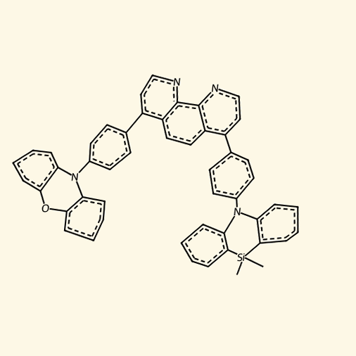 C[Si]1(C)c2ccccc2N(c2ccc(-c3ccnc4c3ccc3c(-c5ccc(N6c7ccccc7Oc7ccccc76)cc5)ccnc34)cc2)c2ccccc21